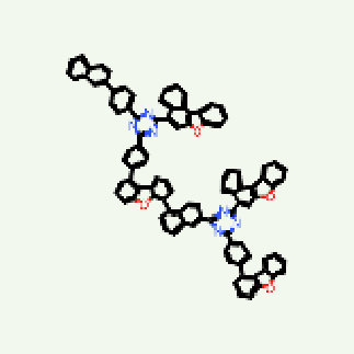 c1ccc2cc(-c3ccc(-c4nc(-c5ccc(-c6cccc7oc8c(-c9cccc%10cc(-c%11nc(-c%12ccc(-c%13cccc%14oc%15ccccc%15c%13%14)cc%12)nc(-c%12cc%13oc%14ccccc%14c%13c%13ccccc%12%13)n%11)ccc9%10)cccc8c67)cc5)nc(-c5cc6oc7ccccc7c6c6ccccc56)n4)cc3)ccc2c1